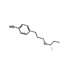 CC[C@H](C)OCCCc1ccc(O)cc1